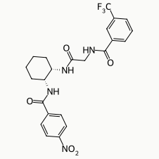 O=C(CNC(=O)c1cccc(C(F)(F)F)c1)N[C@H]1CCCC[C@H]1NC(=O)c1ccc([N+](=O)[O-])cc1